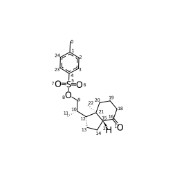 Cc1ccc(S(=O)(=O)OC[C@@H](C)[C@H]2CC[C@H]3C(=O)CCC[C@]23C)cc1